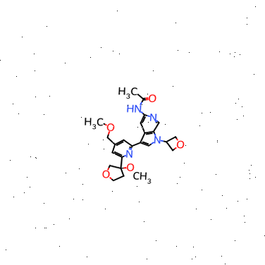 COCc1cc(-c2cn(C3COC3)c3cnc(NC(C)=O)cc23)nc([C@]2(OC)CCOC2)c1